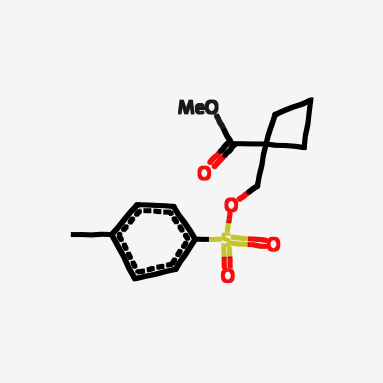 COC(=O)C1(COS(=O)(=O)c2ccc(C)cc2)CCC1